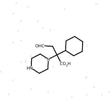 O=CCC(C(=O)O)(C1CCCCC1)N1CCNCC1